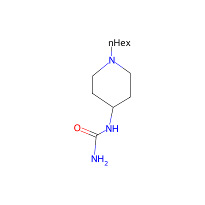 CCCCCCN1CCC(NC(N)=O)CC1